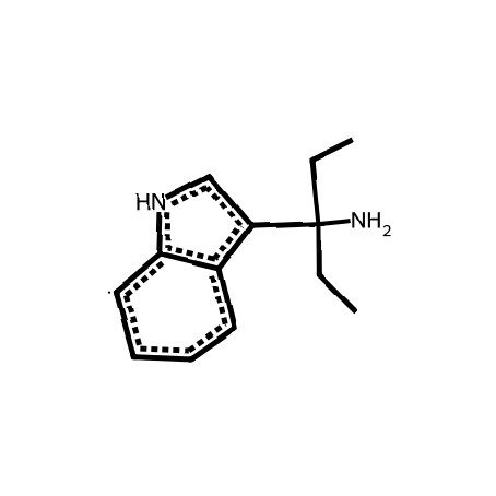 CCC(N)(CC)c1c[nH]c2[c]cccc12